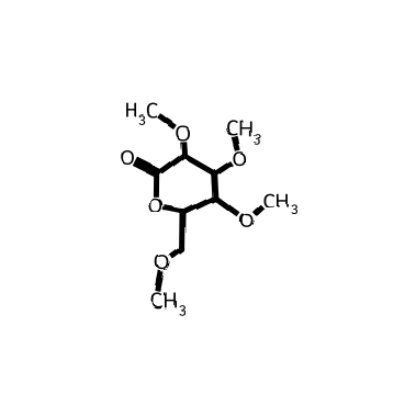 COCC1OC(=O)C(OC)C(OC)C1OC